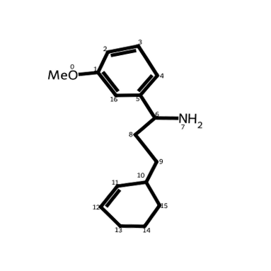 COc1cccc(C(N)CCC2C=CCCC2)c1